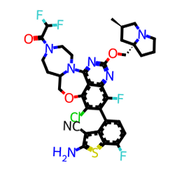 C[C@H]1CN2CCC[C@@]2(COc2nc3c4c(c(Cl)c(-c5ccc(F)c6sc(N)c(C#N)c56)c(F)c4n2)OCC2CCN(C(=O)C(F)F)CCN32)C1